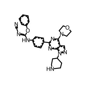 N#CN=C(Nc1ccc(-c2nc(N3CCOCC3)c3cnn(C4CCNCC4)c3n2)cc1)Oc1ccccc1